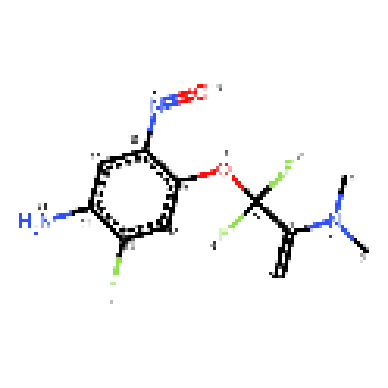 C=C(N(C)C)C(F)(F)Oc1cc(F)c(N)cc1N=O